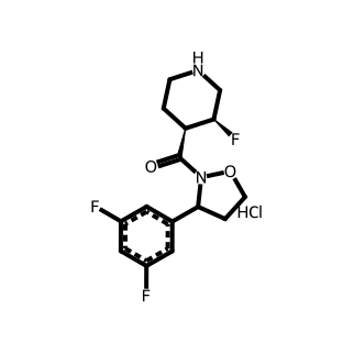 Cl.O=C([C@H]1CCNC[C@H]1F)N1OCCC1c1cc(F)cc(F)c1